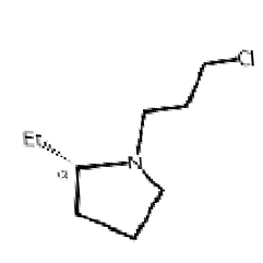 CC[C@H]1CCCN1CCCCl